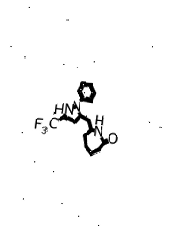 O=C1CCCCC(CC2CC(C(F)(F)F)NN2c2ccccc2)N1